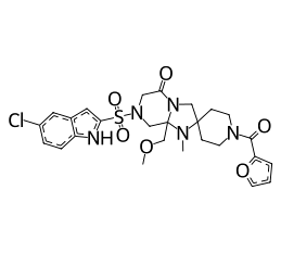 COCC12CN(S(=O)(=O)c3cc4cc(Cl)ccc4[nH]3)CC(=O)N1CC1(CCN(C(=O)c3ccco3)CC1)N2C